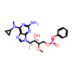 COC(CO[PH](=O)Oc1ccccc1)[C@@H](O)[C@H](C)n1cnc2c(N(C)C3CC3)nc(N)nc21